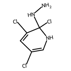 NNC1(Cl)NC=C(Cl)C=C1Cl